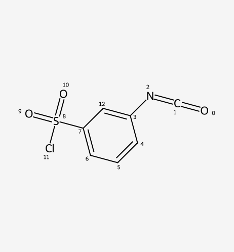 O=C=Nc1cccc(S(=O)(=O)Cl)c1